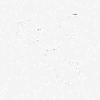 c1ccc(C2Oc3ccccc3N2c2ccccc2)cc1